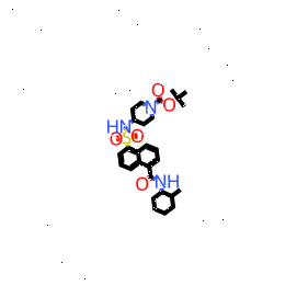 CC1CCCCC1NC(=O)c1cccc2c(S(=O)(=O)NC3CCN(C(=O)OC(C)(C)C)CC3)cccc12